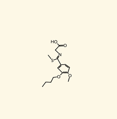 CCCCOc1cc(C(=NCC(=O)O)SC)ccc1OC